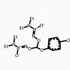 CCN(CC)[N+]([O-])=NOC(ON=[N+]([O-])N(CC)CC)Oc1ccc(Cl)cc1